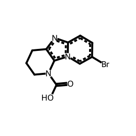 O=C(O)N1CCCc2nc3ccc(Br)cn3c21